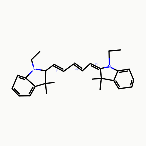 CCN1/C(=C/C=C/C=C/C2N(CC)c3ccccc3C2(C)C)C(C)(C)c2ccccc21